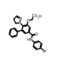 O=C(O)COc1cc(C(=O)Nc2ccc(Br)cc2)cc(-c2ccccc2)c1N1CCC=N1